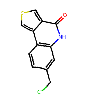 O=c1[nH]c2cc(CCl)ccc2c2cscc12